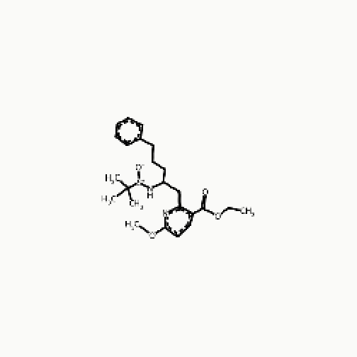 CCOC(=O)c1ccc(OC)nc1CC(CCCc1ccccc1)N[S+]([O-])C(C)(C)C